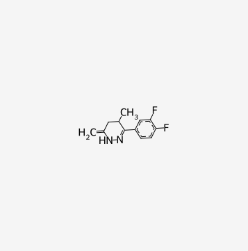 C=C1CC(C)C(c2ccc(F)c(F)c2)=NN1